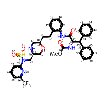 COC(=O)N[C@H](C(=O)Nc1ccccc1CC[C@@H]1CN[C@H](CN(c2cccc(C(F)(F)F)n2)[SH](=O)=O)CO1)C(c1ccccc1)c1ccccc1